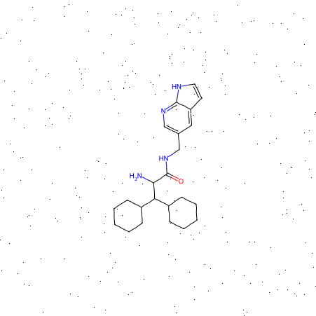 NC(C(=O)NCc1cnc2[nH]ccc2c1)C(C1CCCCC1)C1CCCCC1